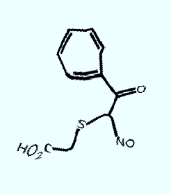 O=NC(SCC(=O)O)C(=O)c1ccccc1